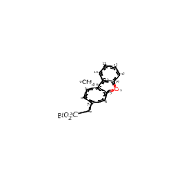 C.CCOC(=O)Cc1ccc2c(c1)oc1ccccc12